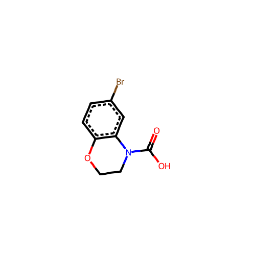 O=C(O)N1CCOc2ccc(Br)cc21